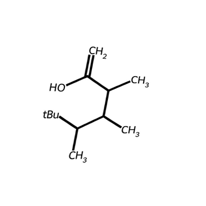 C=C(O)C(C)C(C)C(C)C(C)(C)C